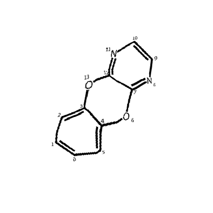 c1ccc2c(c1)Oc1nccnc1O2